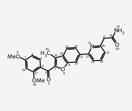 COc1ccc(C(=O)c2oc3cc(-c4cccc(CC(N)=O)n4)ccc3c2C)c(OC)c1